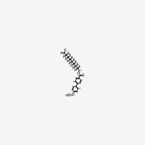 CCCCOc1ccc(-c2ccc(C(=O)OCC(F)(F)C(F)(F)C(F)(F)C(F)(F)C(F)(F)C(F)(F)C(F)(F)C(F)F)cc2)cc1